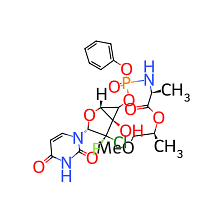 COC[C@H](C)OC(=O)[C@H](C)NP(=O)(Oc1ccccc1)OC1[C@H]2O[C@@H](n3ccc(=O)[nH]c3=O)[C@@](F)(Cl)[C@@]12O